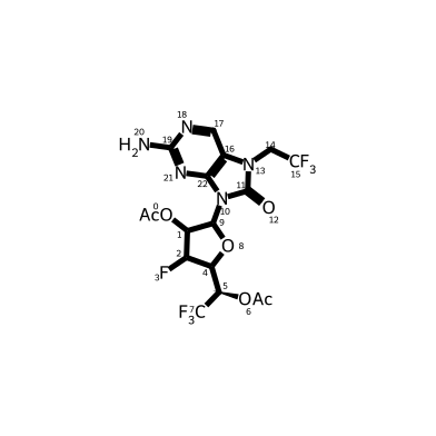 CC(=O)OC1C(F)C([C@@H](OC(C)=O)C(F)(F)F)OC1n1c(=O)n(CC(F)(F)F)c2cnc(N)nc21